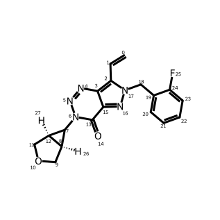 C=Cc1c2nnn(C3[C@H]4COC[C@@H]34)c(=O)c2nn1Cc1ccccc1F